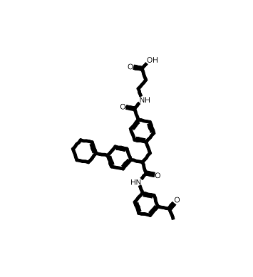 CC(=O)c1cccc(NC(=O)C(Cc2ccc(C(=O)NCCC(=O)O)cc2)c2ccc(C3=CCCCC3)cc2)c1